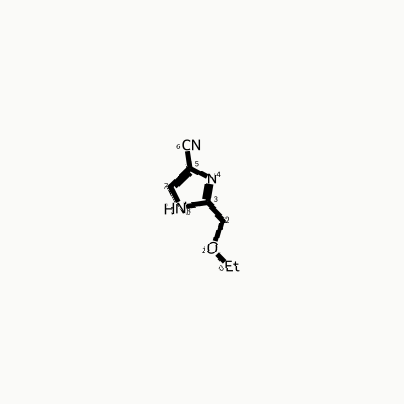 CCOCc1nc(C#N)c[nH]1